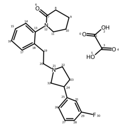 O=C(O)C(=O)O.O=C1CCCCN1c1ccccc1CCN1CCC(c2cccc(F)c2)C1